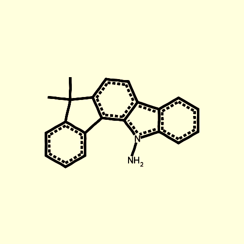 CC1(C)c2ccccc2-c2c1ccc1c3ccccc3n(N)c21